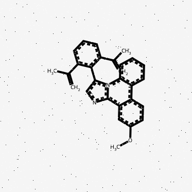 C=C(C)c1cccc(C(=C)C)c1-c1cnc2c3cc(OC)ccc3c3ccccc3n12